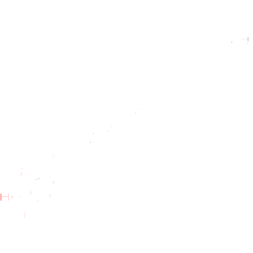 CCCCCCCCCCCCCCCCCC(=O)c1ccc(O)c(O)c1O